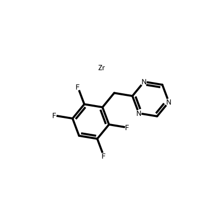 Fc1cc(F)c(F)c(Cc2ncncn2)c1F.[Zr]